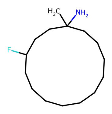 CC1(N)CCCCCCCCCCC(F)CC1